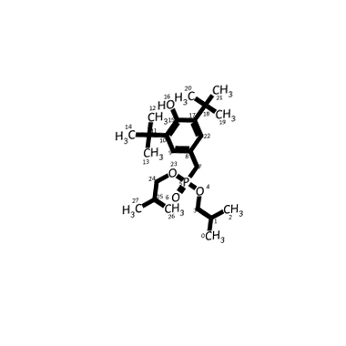 CC(C)COP(=O)(Cc1cc(C(C)(C)C)c(O)c(C(C)(C)C)c1)OCC(C)C